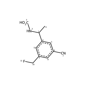 CC(NC(=O)O)c1cc(C#N)cc(CF)c1